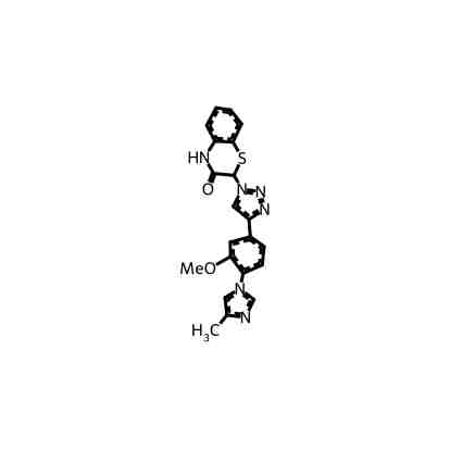 COc1cc(-c2cn(C3Sc4ccccc4NC3=O)nn2)ccc1-n1cnc(C)c1